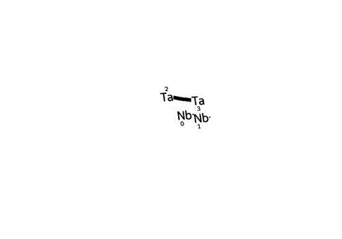 [Nb].[Nb].[Ta][Ta]